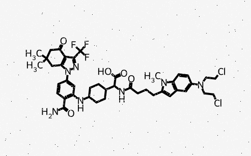 Cn1c(CCCC(=O)NC(C(=O)O)C2CCC(Nc3cc(-n4nc(C(F)(F)F)c5c4CC(C)(C)CC5=O)ccc3C(N)=O)CC2)cc2cc(N(CCCl)CCCl)ccc21